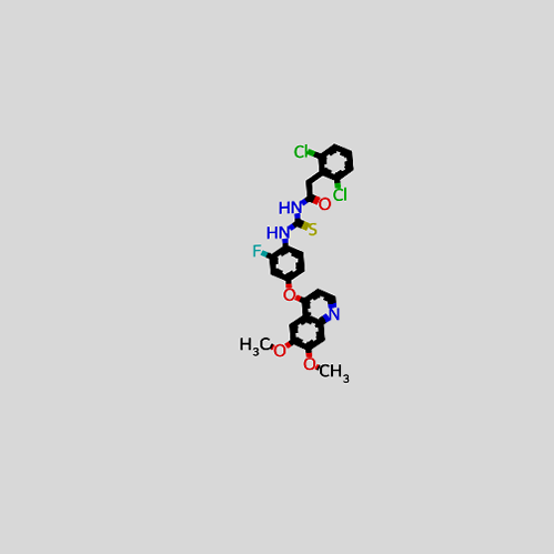 COc1cc2nccc(Oc3ccc(NC(=S)NC(=O)Cc4c(Cl)cccc4Cl)c(F)c3)c2cc1OC